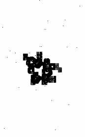 CC1Cc2[nH]nc(-c3cscn3)c2CN1C(=O)c1cc2c(Cl)cc(F)cc2[nH]1